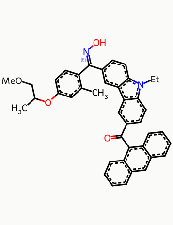 CCn1c2ccc(C(=O)c3c4ccccc4cc4ccccc34)cc2c2cc(/C(=N\O)c3ccc(OC(C)COC)cc3C)ccc21